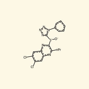 CCCc1nc2cc(Cl)c(Cl)cc2nc1[S+]([O-])c1nnnn1-c1ccccc1